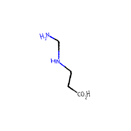 NCNCCC(=O)O